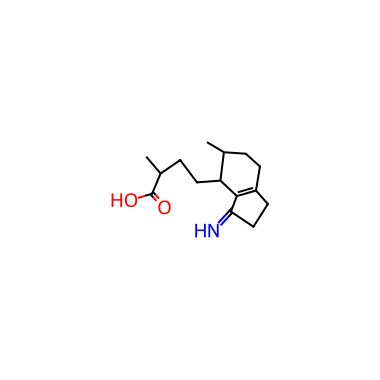 CC(CCC1C2=C(CCC2=N)CCC1C)C(=O)O